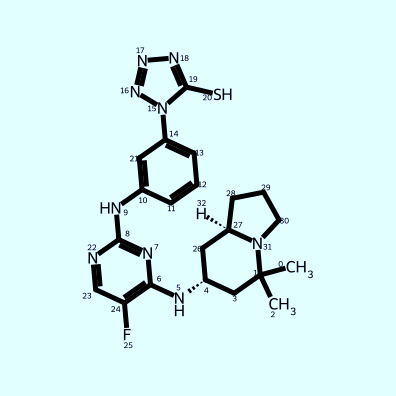 CC1(C)C[C@H](Nc2nc(Nc3cccc(-n4nnnc4S)c3)ncc2F)C[C@H]2CCCN21